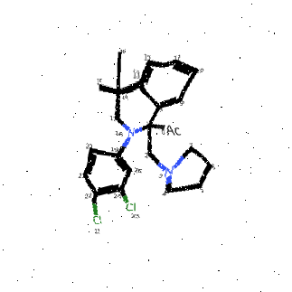 CC(=O)C1(CN2CCCC2)c2ccccc2C(C)(C)CN1c1ccc(Cl)c(Cl)c1